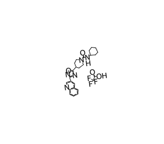 O=C(NC1CCCCC1)N1CCC(c2nc(-c3cnc4ccccc4c3)no2)CC1.O=C(O)C(F)(F)F